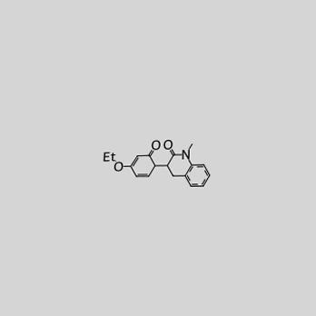 CCOC1=CC(=O)C(C2Cc3ccccc3N(C)C2=O)C=C1